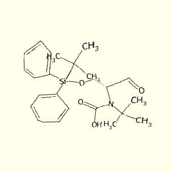 CC(C)(C)N(C(=O)O)[C@@H](C=O)CO[Si](c1ccccc1)(c1ccccc1)C(C)(C)C